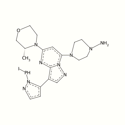 C[C@@H]1COCCN1c1cc(N2CCN(N)CC2)n2ncc(-c3ccnn3PI)c2n1